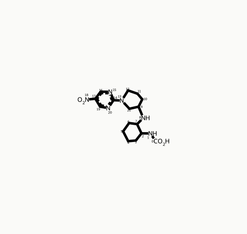 O=C(O)NC1CCCCC1NC1CCCN(c2ncc([N+](=O)[O-])cn2)C1